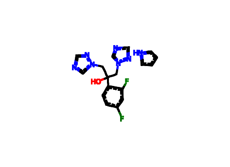 OC(Cn1cncn1)(Cn1cncn1)c1ccc(F)cc1F.c1cc[nH]c1